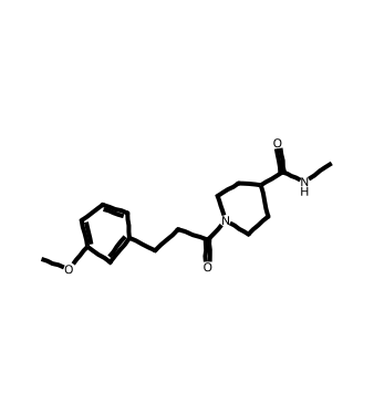 CNC(=O)C1CCN(C(=O)CCc2cccc(OC)c2)CC1